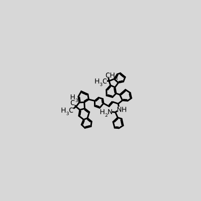 CC1(C)c2cc3ccccc3cc2-c2c(-c3ccc(/C=C/C(NC(N)c4ccccc4)c4ccccc4-c4cccc5c4-c4ccccc4C5(C)C)cc3)cccc21